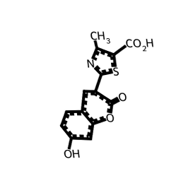 Cc1nc(-c2cc3ccc(O)cc3oc2=O)sc1C(=O)O